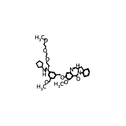 COCCOCCOCCN(NC1CCCC1)c1cc(COC)cc(COc2cc3c(cc2OC)C(=O)N2c4ccccc4C[C@H]2C=N3)c1